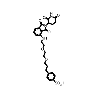 O=C1CCC(N2C(=O)c3cccc(NCCOCCOCCCc4ccc(S(=O)(=O)O)cc4)c3C2=O)C(=O)N1